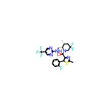 Cc1nc(C(=O)N2CC(F)(F)C[C@@H](C)[C@H]2CNc2ncc(C(F)(F)F)cn2)c(-c2ccccc2F)s1